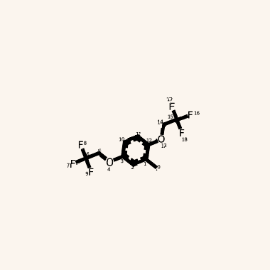 [CH2]c1cc(OCC(F)(F)F)ccc1OCC(F)(F)F